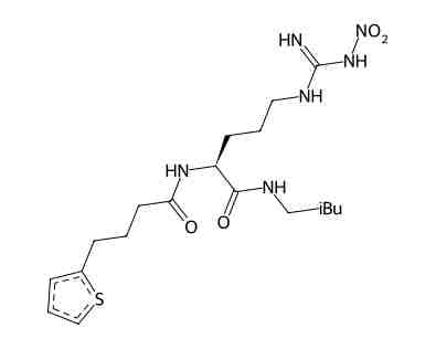 [CH2]CC(C)CNC(=O)[C@H](CCCNC(=N)N[N+](=O)[O-])NC(=O)CCCc1cccs1